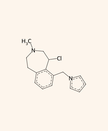 CN1CCc2cccc(Cn3cccc3)c2C(Cl)C1